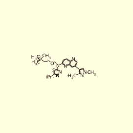 [CH2]c1nn(C)cc1-c1cnc2ccc(N(COCC[Si](C)(C)C)c3nnc(C(C)C)s3)nc2c1